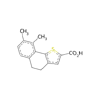 Cc1ccc2c(c1C)-c1sc(C(=O)O)cc1CC2